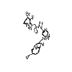 O=C(Cc1ncn2ccc(Br)c(F)c12)Nc1cc(NCc2cn3cc(C4CC4)ccc3n2)ncn1